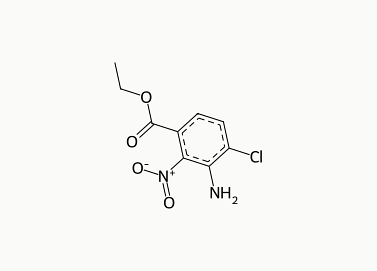 CCOC(=O)c1ccc(Cl)c(N)c1[N+](=O)[O-]